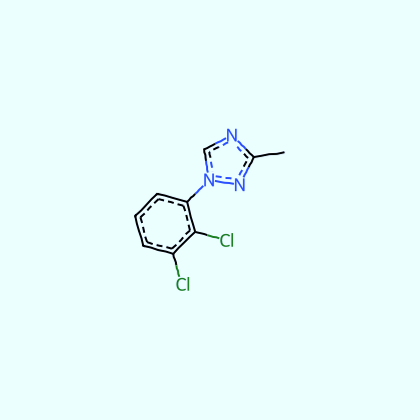 Cc1ncn(-c2cccc(Cl)c2Cl)n1